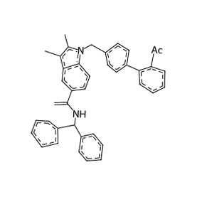 C=C(NC(c1ccccc1)c1ccccc1)c1ccc2c(c1)c(C)c(C)n2Cc1ccc(-c2ccccc2C(C)=O)cc1